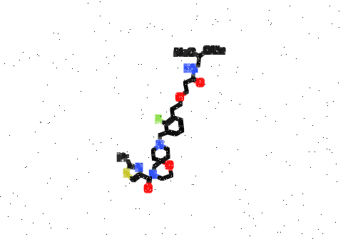 COC(CNC(=O)CCOCCc1cccc(CN2CCC3(CC2)CN(C(=O)c2csc(C(C)C)n2)CCO3)c1F)OC